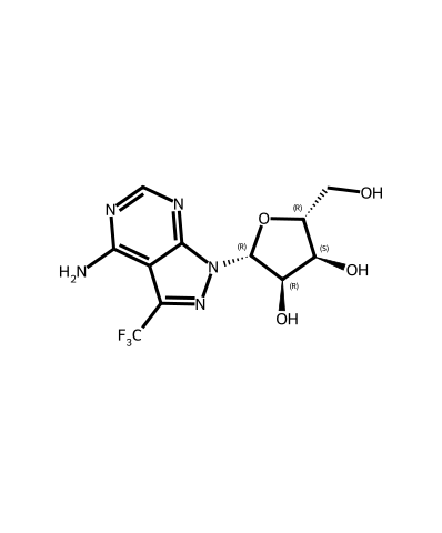 Nc1ncnc2c1c(C(F)(F)F)nn2[C@@H]1O[C@H](CO)[C@@H](O)[C@H]1O